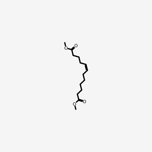 COC(=O)CCC/C=C\CCCCCC(=O)OC